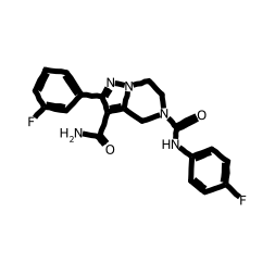 NC(=O)c1c(-c2cccc(F)c2)nn2c1CN(C(=O)Nc1ccc(F)cc1)CC2